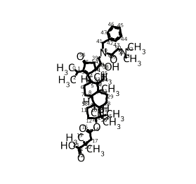 CC(C)C1=C2[C@H]3CC[C@@H]4[C@@]5(C)CCC(OC(=O)CC(C)(C)C(=O)O)C(C)(C)[C@@H]5CC[C@@]4(C)[C@]3(C)CC[C@@]2([C@@H](O)CN(Cc2ccccc2)C(=O)CN(C)C)CC1=O